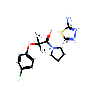 CC(C)(Oc1ccc(Cl)cc1)C(=O)N1CCC[C@H]1c1nnc(N)s1